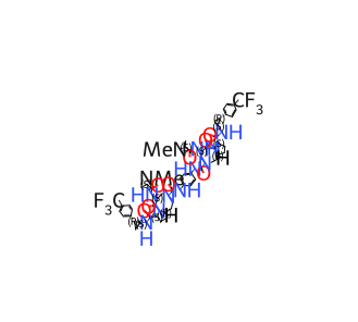 CN[C@@H](C)C(=O)N[C@H]1CN(C(=O)Nc2ccc(NC(=O)N3CC[C@H]4CC[C@@H](C(=O)N[C@H]5C[C@@H]5c5ccc(C(F)(F)F)cc5)N4C(=O)[C@@H](NC(=O)[C@H](C)NC)C3)cc2)CC[C@H]2CC[C@@H](C(=O)N[C@H]3C[C@@H]3c3ccc(C(F)(F)F)cc3)N2C1=O